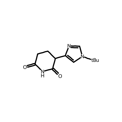 CC(C)(C)n1cnc(C2CCC(=O)NC2=O)c1